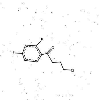 O=C(CCCCl)c1ccc(F)cc1F